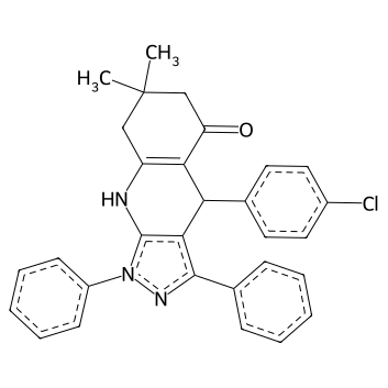 CC1(C)CC(=O)C2=C(C1)Nc1c(c(-c3ccccc3)nn1-c1ccccc1)C2c1ccc(Cl)cc1